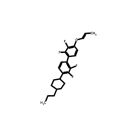 C/C=C/Oc1ccc(-c2ccc(C3CCC(CCC)CC3)c(F)c2F)c(F)c1F